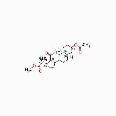 COC(=O)[C@@H](C)[C@H]1CCC2C3CC[C@@H]4C[C@H](OC(C)=O)CC[C@]4(C)C3CC(=O)[C@@]21C